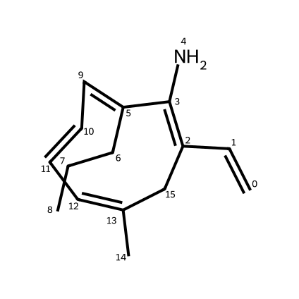 C=C/C1=C(N)/C(CCC)=C/C=C/C=C(/C)C1